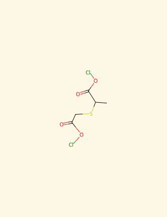 CC(SCC(=O)OCl)C(=O)OCl